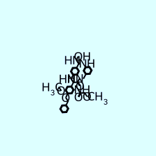 COCC(=O)Nc1cc(OCc2ccccc2)c(OC)cc1C(Nc1ccc(C(=N)NO)cc1)C(=O)NCc1ccccc1